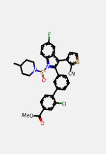 COC(=O)c1ccc(-c2cccc(-c3c(-c4ccsc4C#N)c4cc(F)ccc4n3[S+]([O-])N3CCC(C)CC3)c2)c(Cl)c1